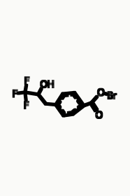 O=C(OBr)c1ccc(CC(O)C(F)(F)F)cc1